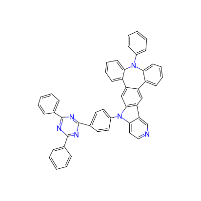 c1ccc(-c2nc(-c3ccccc3)nc(-c3ccc(-n4c5ccncc5c5cc6c(cc54)-c4ccccc4N(c4ccccc4)c4ccccc4-6)cc3)n2)cc1